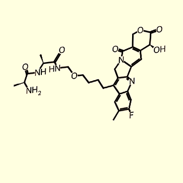 Cc1cc2c(CCCCOCNC(=O)[C@H](C)NC(=O)[C@H](C)N)c3c(nc2cc1F)-c1cc2c(c(=O)n1C3)COC(=O)[C@H]2O